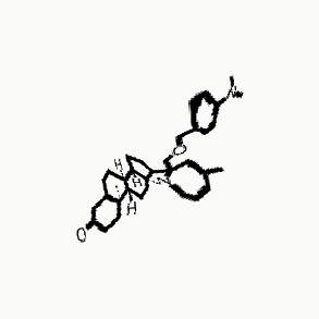 CC1=CC(COCc2ccc(N(C)C)cc2)(C2CC[C@H]3[C@@H]4CCC5CC(=O)CC[C@]5(C)[C@H]4CC[C@]23C)N=CC=C1